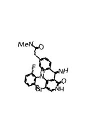 CNC(=O)Cc1ccc(C(=N)c2c(Nc3c(F)cccc3F)c(Br)c[nH]c2=O)cc1